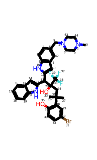 CN1CCN(Cc2ccc3[nH]c(C(c4cc5ccccc5[nH]4)C(O)(CC(C)(C)c4cc(Br)ccc4O)C(F)(F)F)cc3c2)CC1